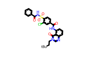 CC(C)(C)CCn1cnc2cccc(NC(=O)c3ccc(S(=O)(=O)NC(=O)c4ccccc4)c(Cl)c3)c2c1=O